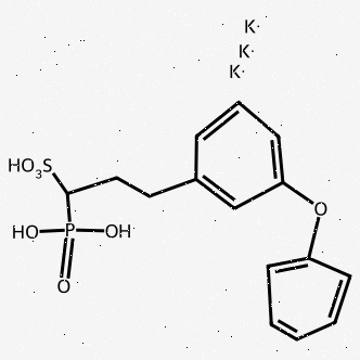 O=P(O)(O)C(CCc1cccc(Oc2ccccc2)c1)S(=O)(=O)O.[K].[K].[K]